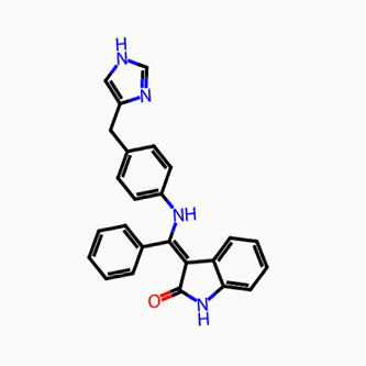 O=C1Nc2ccccc2C1=C(Nc1ccc(Cc2c[nH]cn2)cc1)c1ccccc1